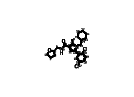 Cc1c(C(=O)NC[C@H]2CCCO2)cc(-c2cc(Cl)ccc2Cl)n1CC1CCCCC1